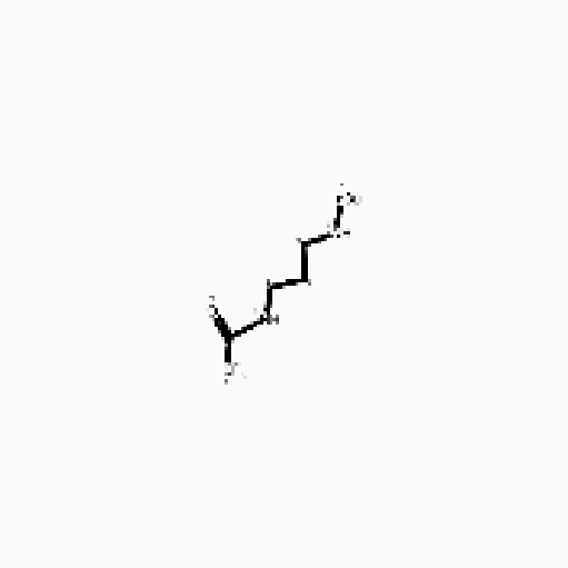 CCCCNCCCNC(=O)C(F)(F)F